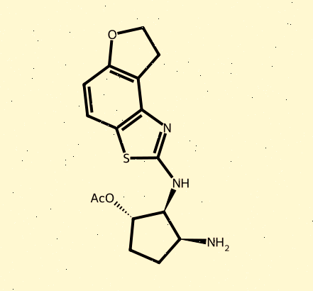 CC(=O)O[C@H]1CC[C@H](N)[C@@H]1Nc1nc2c3c(ccc2s1)OCC3